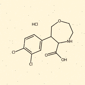 Cl.O=C(O)C1NCCOCC1c1ccc(Cl)c(Cl)c1